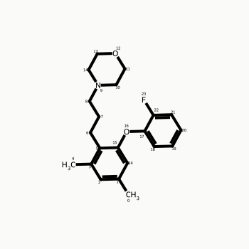 Cc1cc(C)c(CCCN2CCOCC2)c(Oc2ccccc2F)c1